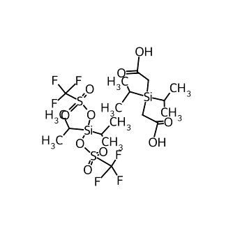 CC(C)[Si](CC(=O)O)(CC(=O)O)C(C)C.CC(C)[Si](OS(=O)(=O)C(F)(F)F)(OS(=O)(=O)C(F)(F)F)C(C)C